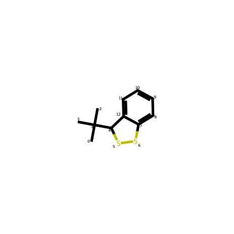 CC(C)(C)C1SSc2ccccc21